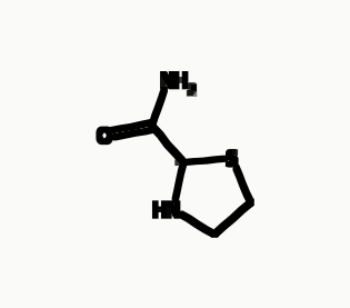 NC(=O)[C]1NCCS1